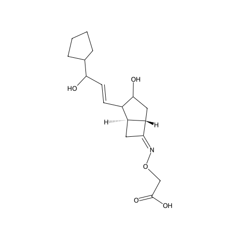 O=C(O)CON=C1C[C@H]2C(C=CC(O)C3CCCC3)C(O)C[C@H]12